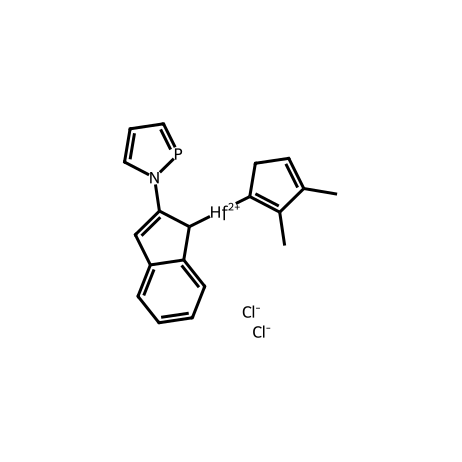 CC1=CC[C]([Hf+2][CH]2C(n3cccp3)=Cc3ccccc32)=C1C.[Cl-].[Cl-]